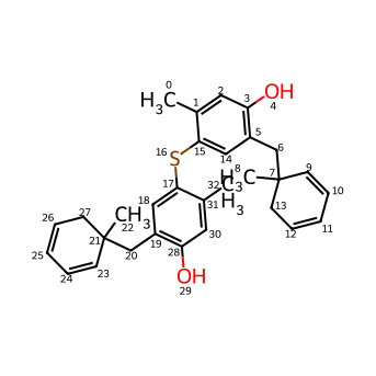 Cc1cc(O)c(CC2(C)C=CC=CC2)cc1Sc1cc(CC2(C)C=CC=CC2)c(O)cc1C